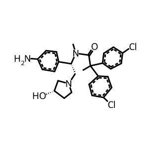 CN(C(=O)C(C)(c1ccc(Cl)cc1)c1ccc(Cl)cc1)[C@H](CN1CC[C@H](O)C1)c1ccc(N)cc1